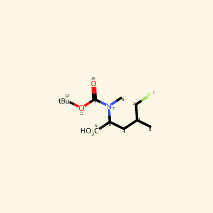 CC(CF)CC(C(=O)O)N(C)C(=O)OC(C)(C)C